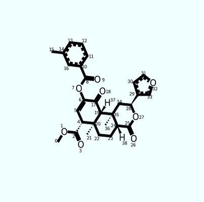 COC(=O)[C@@H]1C=C(OC(=O)c2cccc(C)c2)C(=O)[C@H]2[C@@]1(C)CC[C@H]1C(=O)O[C@H](c3ccoc3)C[C@]21C